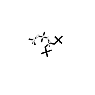 C[SiH](C)O[Si](C)(C)O[SiH](CC(C)(C)C)CC(C)(C)C